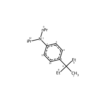 CCCN(c1ccc(C(C)(CC)CC)cc1)C(C)C